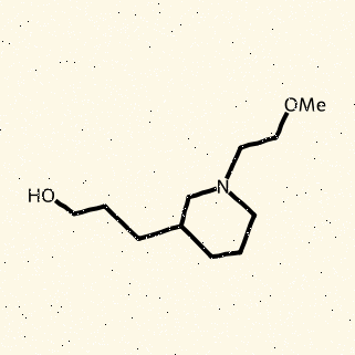 COCCN1CCCC(CCCO)C1